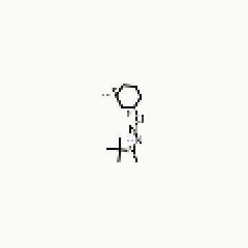 C[C@@H]1CCC[C@@H](O/N=N/N(C)C(C)(C)C)C1